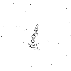 Cc1ccc(F)c(-c2ccc(N3CCN(CC(=O)N4CCN(C5CCC5)CC4)CC3)cc2)c1Cl